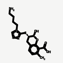 Cc1ccc2c(c1C(=O)O)OB(O)[C@@H](Sc1nncn1CCCCN)C2